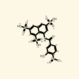 Cc1cc(C(=O)Nc2cc(S(=O)(=O)O)cc3cc(S(=O)(=O)O)cc(S(=O)(=O)O)c23)ccc1[N+](=O)[O-]